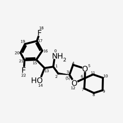 NC(C[C@H]1COC2(CCCCC2)O1)C(O)c1cc(F)ccc1F